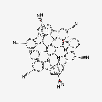 N#Cc1ccc2c(c1)c1cc(C#N)ccc1n2-c1c(-c2cccnc2)c(-n2c3ccc(C#N)cc3c3cc(C#N)ccc32)c(-n2c3ccc(C#N)cc3c3cc(C#N)ccc32)c(-c2nc3ccccc3s2)c1-n1c2ccc(C#N)cc2c2cc(C#N)ccc21